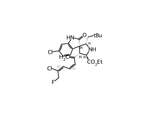 C=C(/C=C\C=C(\Cl)CF)[C@H]1[C@H](C(=O)OCC)N[C@@H](CC(C)(C)C)[C@@]12C(=O)Nc1cc(Cl)ccc12